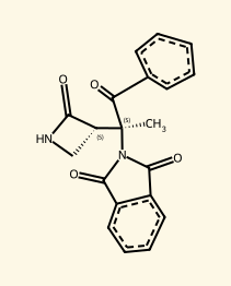 C[C@@](C(=O)c1ccccc1)([C@@H]1CNC1=O)N1C(=O)c2ccccc2C1=O